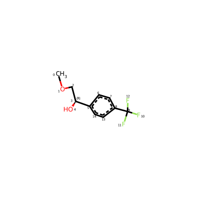 COC[C@H](O)c1ccc(C(F)(F)F)cc1